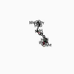 COC(=O)N[C@H](C(=O)NCCCCc1ncc(-c2ccc3cc(-c4ccc(-c5cnc([C@@H]6CCCN6C(=O)[C@@H](NC(=O)OC)C(C)C)[nH]5)cc4)cnc3c2)[nH]1)C(C)C